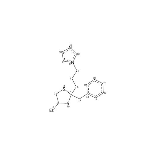 CCC1CSC(CCCn2ccnc2)(Cc2ccccc2)S1